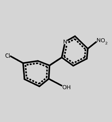 O=[N+]([O-])c1ccc(-c2cc(Cl)ccc2O)nc1